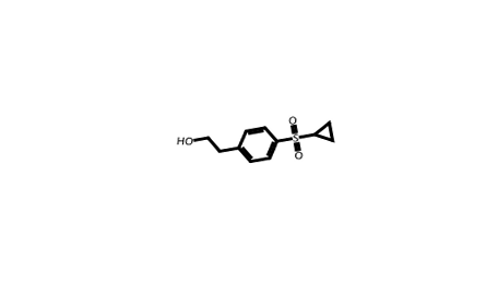 O=S(=O)(c1ccc(CCO)cc1)C1CC1